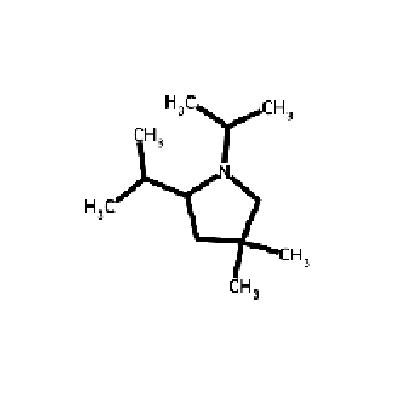 CC(C)C1CC(C)(C)CN1C(C)C